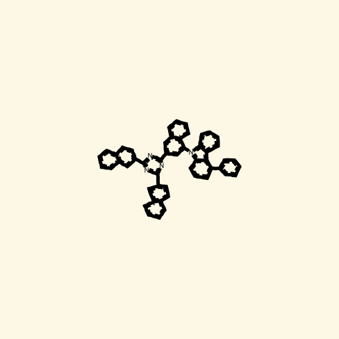 c1ccc(-c2cccc3c2c2ccccc2n3-c2cc(-c3nc(-c4ccc5ccccc5c4)nc(-c4ccc5ccccc5c4)n3)cc3ccccc23)cc1